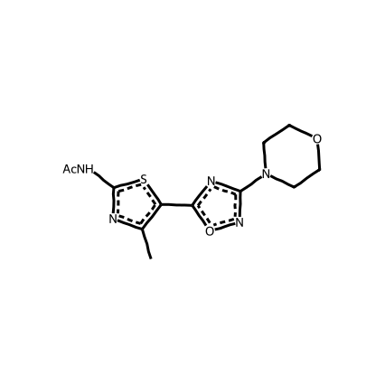 CC(=O)Nc1nc(C)c(-c2nc(N3CCOCC3)no2)s1